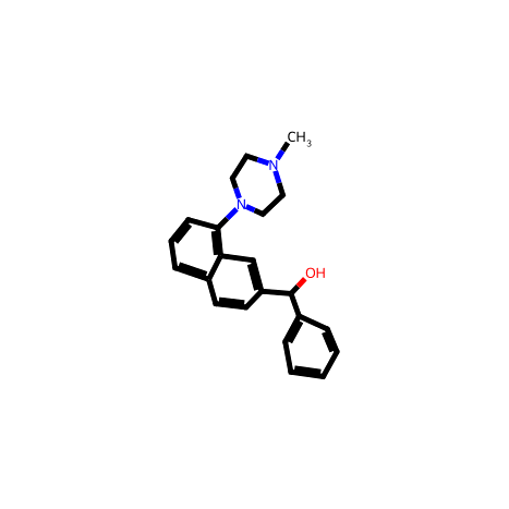 CN1CCN(c2cccc3ccc(C(O)c4ccccc4)cc23)CC1